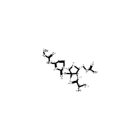 CCCCOC(=O)Nc1ccn([C@@H]2O[C@H](COC(=O)C(C)C)[C@@H](OC(=O)[C@@H](N)C(C)C)C2(F)F)c(=O)n1